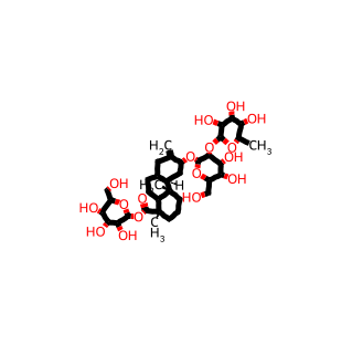 C=C1CC2CCC3[C@](C)(C(=O)OC4OC(CO)C(O)C(O)C4O)CCC[C@@]3(C)[C@@H]2CC1OC1OC(CO)C(O)C(O)C1OC1OC(C)C(O)C(O)C1O